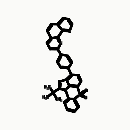 CC(C)(C)c1nc2c(-c3ccc(-c4ccc5ccc6cccnc6c5n4)cc3)ccc3c2n1-c1ccccc1S3(=O)=O